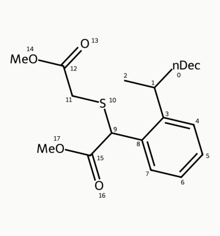 CCCCCCCCCCC(C)c1ccccc1C(SCC(=O)OC)C(=O)OC